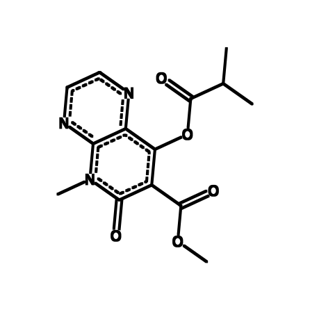 COC(=O)c1c(OC(=O)C(C)C)c2nccnc2n(C)c1=O